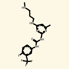 CNCCCNc1cc(C)nc(NC(=O)Nc2ccc(F)c(C(F)(F)F)c2)n1